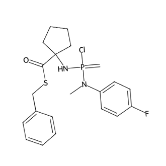 C=P(Cl)(NC1(C(=O)SCc2ccccc2)CCCC1)N(C)c1ccc(F)cc1